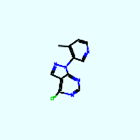 Cc1ccncc1-n1ncc2c(Cl)ncnc21